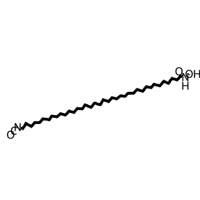 O=C=NCCCCCCCCCCCCCCCCCCCCCCCCCCCCCCCCCCCCCC(=O)NO